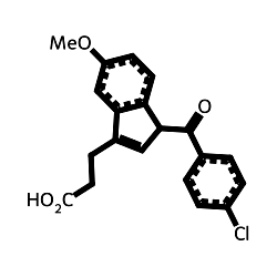 COc1ccc2c(c1)C(CCC(=O)O)=CC2C(=O)c1ccc(Cl)cc1